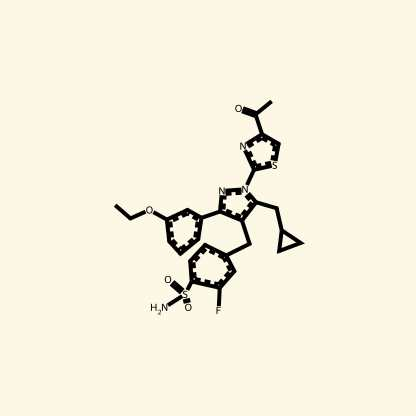 CCOc1cccc(-c2nn(-c3nc(C(C)=O)cs3)c(CC3CC3)c2Cc2ccc(S(N)(=O)=O)c(F)c2)c1